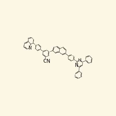 N#Cc1cc(-c2ccc(-c3cccc4cccnc34)cc2)cc(-c2ccc3ccc(-c4ccc(-c5nc(-c6ccccc6)cc(-c6ccccc6)n5)cc4)cc3c2)c1